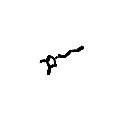 C=C1O[C@@H](O/C=C/C=O)C=C1C